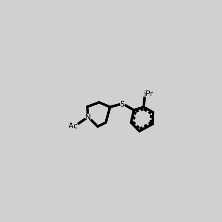 CC(=O)N1CCC(Sc2ccccc2C(C)C)CC1